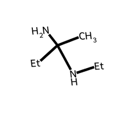 CCNC(C)(N)CC